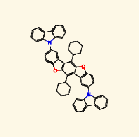 c1ccc2c(c1)c1ccccc1n2-c1ccc2oc3c(C4CCCCC4)c4c(oc5ccc(-n6c7ccccc7c7ccccc76)cc54)c(C4CCCCC4)c3c2c1